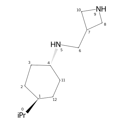 CC(C)[C@H]1CC[C@H](NCC2CNC2)CC1